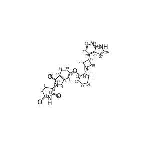 O=C1CC[C@@H](N2Cc3cc(O[C@@H]4CCCC[C@H]4N4CC(c5ccnc6[nH]ccc56)C4)ccc3C2=O)C(=O)N1